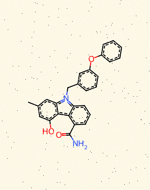 Cc1cc(O)c2c3c(C(N)=O)cccc3n(Cc3cccc(Oc4ccccc4)c3)c2c1